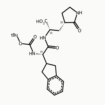 CC(C)(C)OC(=O)N[C@H](C(=O)N[C@@H](C[C@@H]1CCNC1=O)C(=O)O)C1Cc2ccccc2C1